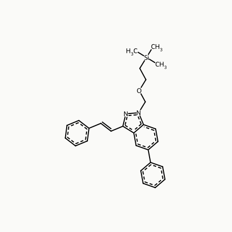 C[Si](C)(C)CCOCn1nc(C=Cc2ccccc2)c2cc(-c3ccccc3)ccc21